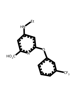 CCNc1cc(Oc2cccc(C(F)(F)F)c2)nc(C(=O)O)c1